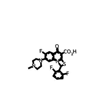 CN1CCN(c2cc3c(cc2F)c(=O)c(C(=O)O)c2n3C(c3c(F)cccc3F)S2)CC1